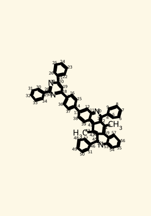 Cc1c2c(-c3ccccc3)nc3cc(-c4ccc(-c5cc(-c6ccccc6)nc(-c6ccccc6)n5)cc4)ccc3c2c(C)c2c(-c3ccccc3)nc3ccccc3c12